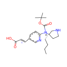 CCCC[C@@]1(N(C(=O)OC(C)(C)C)c2ccc(/C=C/C(=O)O)cn2)CCNC1